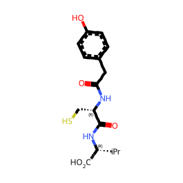 CC(C)[C@@H](NC(=O)[C@H](CS)NC(=O)Cc1ccc(O)cc1)C(=O)O